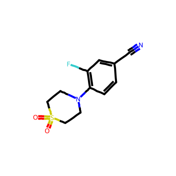 N#Cc1ccc(N2CCS(=O)(=O)CC2)c(F)c1